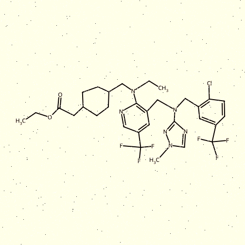 CCOC(=O)CC1CCC(CN(CC)c2ncc(C(F)(F)F)cc2CN(Cc2cc(C(F)(F)F)ccc2Cl)c2ncn(C)n2)CC1